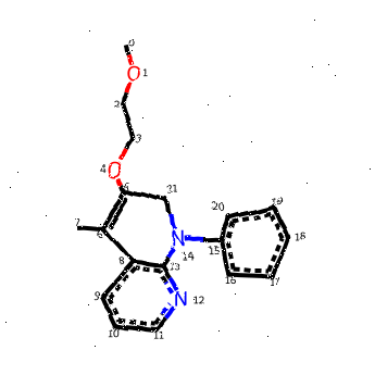 COCCOC1=C(C)c2cccnc2N(c2ccccc2)C1